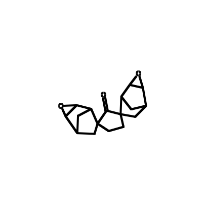 O=C1C2(CCC13CC1CC3C3OC13)CC1CC2C2OC12